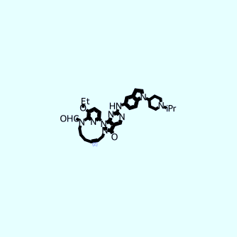 CCOc1ccc2nc1N(C=O)CCC/C=C\Cn1c(=O)c3cnc(Nc4ccc5c(ccn5C5CCN(C(C)C)CC5)c4)nc3n1-2